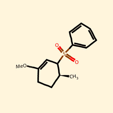 COC1=CC(S(=O)(=O)c2ccccc2)[C@@H](C)CC1